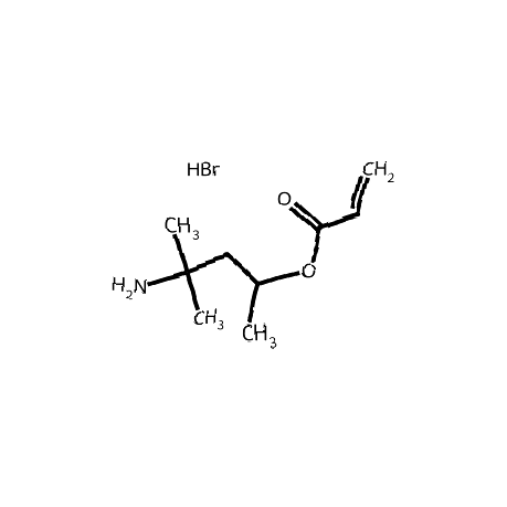 Br.C=CC(=O)OC(C)CC(C)(C)N